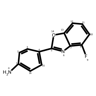 Nc1ccc(-c2nc3c(F)cccc3o2)cc1